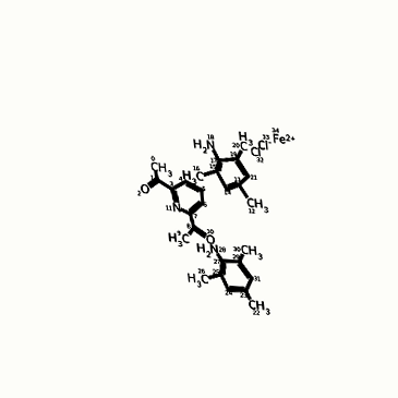 CC(=O)c1cccc(C(C)=O)n1.Cc1cc(C)c(N)c(C)c1.Cc1cc(C)c(N)c(C)c1.[Cl-].[Cl-].[Fe+2]